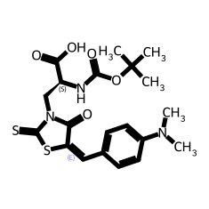 CN(C)c1ccc(/C=C2/SC(=S)N(C[C@H](NC(=O)OC(C)(C)C)C(=O)O)C2=O)cc1